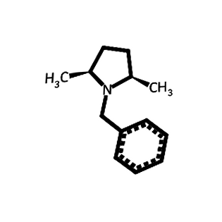 C[C@@H]1CC[C@H](C)N1Cc1ccccc1